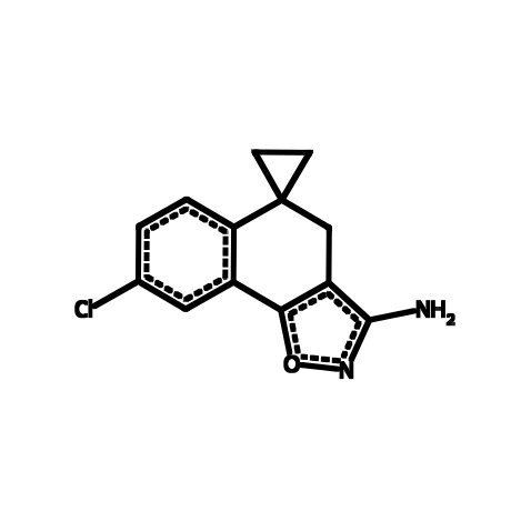 Nc1noc2c1CC1(CC1)c1ccc(Cl)cc1-2